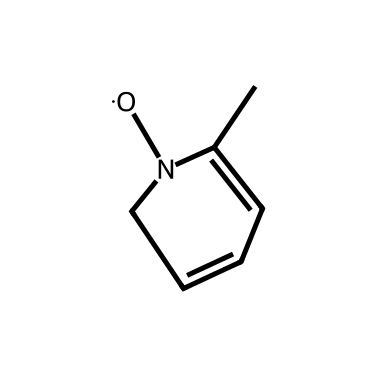 CC1=CC=CCN1[O]